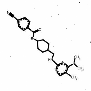 Cc1cnc(NCC2CCC(NC(=O)c3ccc(C#N)cc3)CC2)nc1N(C)C